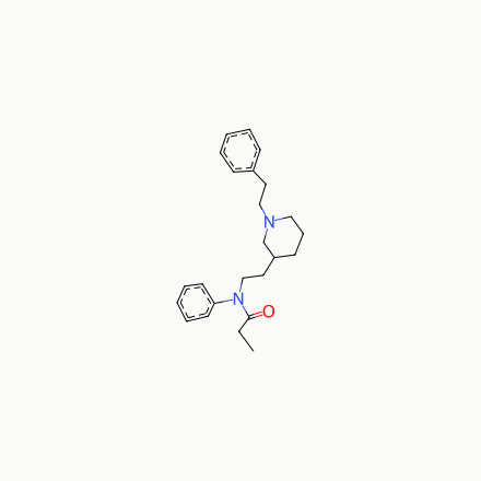 CCC(=O)N(CCC1CCCN(CCc2ccccc2)C1)c1ccccc1